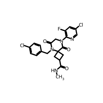 CNC(=O)C1CC2(C1)C(=O)N(c1ncc(Cl)cc1F)CC(=O)N2Cc1ccc(Cl)cc1